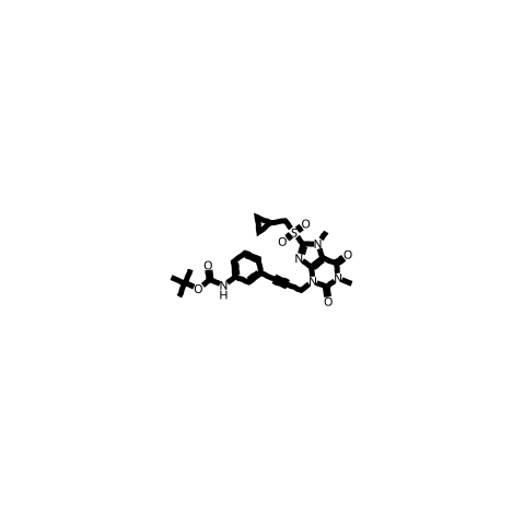 Cn1c(=O)c2c(nc(S(=O)(=O)CC3CC3)n2C)n(CC#Cc2cccc(NC(=O)OC(C)(C)C)c2)c1=O